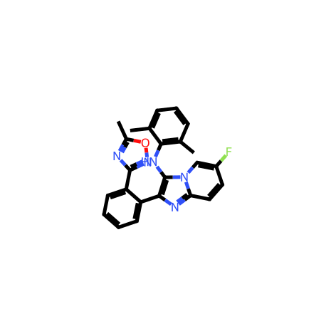 Cc1nc(-c2ccccc2-c2nc3ccc(F)cn3c2Nc2c(C)cccc2C)no1